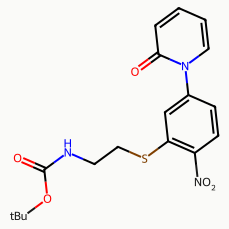 CC(C)(C)OC(=O)NCCSc1cc(-n2ccccc2=O)ccc1[N+](=O)[O-]